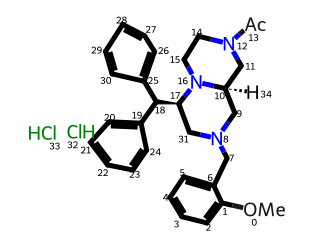 COc1ccccc1CN1C[C@@H]2CN(C(C)=O)CCN2[C@H](C(c2ccccc2)c2ccccc2)C1.Cl.Cl